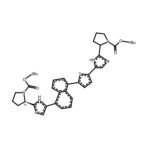 CC(C)(C)OC(=O)N1CCCC1c1ncc(-c2ccc(-c3cccc4c(-c5cnc([C@H]6CCCN6C(=O)OC(C)(C)C)[nH]5)cccc34)s2)[nH]1